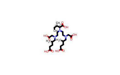 CC[C@H](C)[C@@H](C(=O)O)N(CCN(CC(=O)O)CC(C)CCC(=O)O)CCN(CC(=O)O)CC(C)CCC(=O)O